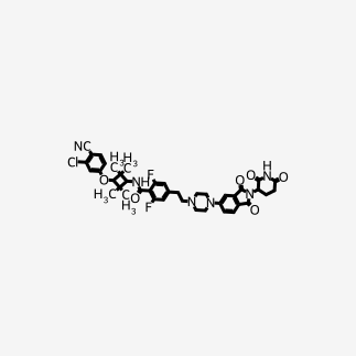 CC1(C)C(NC(=O)c2c(F)cc(CCN3CCN(c4ccc5c(c4)C(=O)N(C4CCC(=O)NC4=O)C5=O)CC3)cc2F)C(C)(C)C1Oc1ccc(C#N)c(Cl)c1